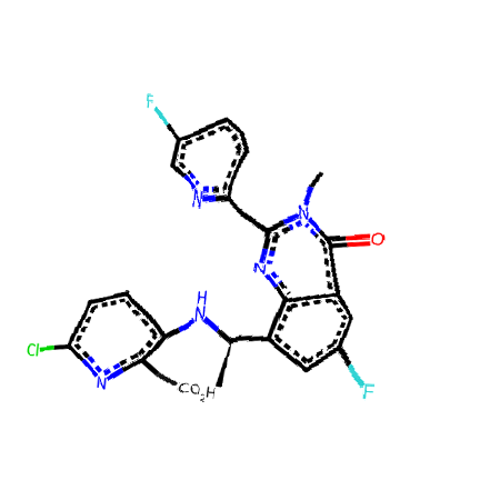 C[C@@H](Nc1ccc(Cl)nc1C(=O)O)c1cc(F)cc2c(=O)n(C)c(-c3ccc(F)cn3)nc12